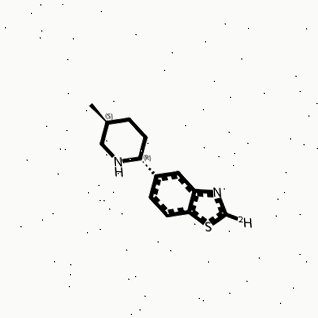 [2H]c1nc2cc([C@H]3CC[C@H](C)CN3)ccc2s1